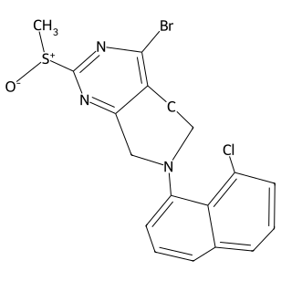 C[S+]([O-])c1nc(Br)c2c(n1)CN(c1cccc3cccc(Cl)c13)CC2